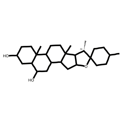 CC1CCC2(CC1)OC1CC3C4CC(O)C5CC(O)CCC5(C)C4CCC3(C)C1[C@@H]2C